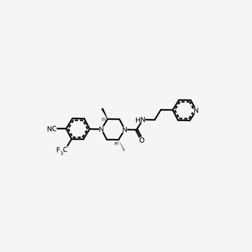 C[C@@H]1CN(c2ccc(C#N)c(C(F)(F)F)c2)[C@@H](C)CN1C(=O)NCCc1ccncc1